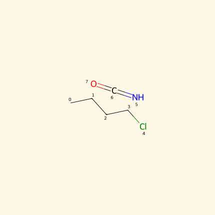 CCCCCl.N=C=O